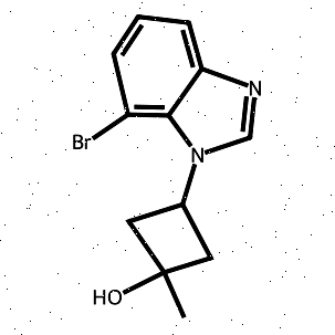 CC1(O)CC(n2cnc3cccc(Br)c32)C1